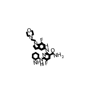 NC(=O)c1cc(F)c(NC2CCCC[C@@H]2N)nc1Nc1cc(F)c2c(ccn2CCN2CCOCC2)c1